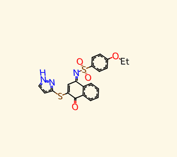 CCOc1ccc(S(=O)(=O)/N=C2/C=C(Sc3cc[nH]n3)C(=O)c3ccccc32)cc1